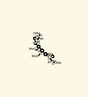 COCCOc1c(-c2ccc(-c3cnc([C@@H]4C=CCN4C(=O)[C@@H](NC(=O)OC)C(C)C)[nH]3)cc2)ccc(-c2ccc3nc([C@@H]4CCCN4C(=O)[C@@H](NC(=O)OC)C(C)C)[nH]c3c2)c1OCCOC